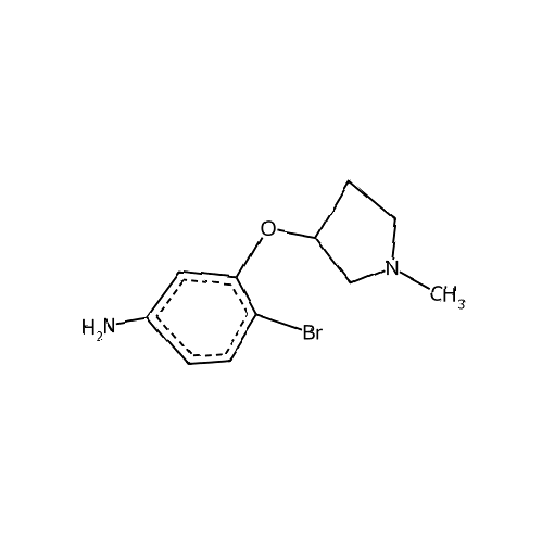 CN1CCC(Oc2cc(N)ccc2Br)C1